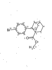 COC(=O)C12CCC(CC1)CC2c1ccc(Br)cc1